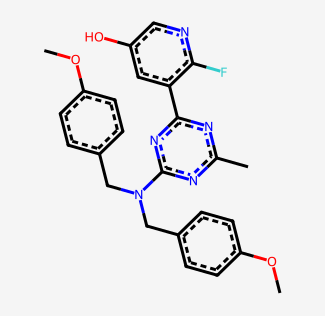 COc1ccc(CN(Cc2ccc(OC)cc2)c2nc(C)nc(-c3cc(O)cnc3F)n2)cc1